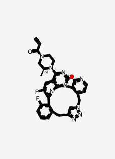 C=CC(=O)N1CCN(c2nc(=O)n3c4nc(c(F)cc24)-c2c(F)cccc2Cc2cn(nn2)Cc2ccnc(C(C)C)c2-3)[C@@H](C)C1